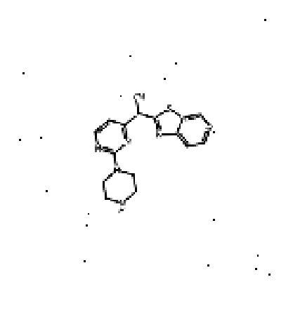 N#CC(c1ccnc(N2CCNCC2)n1)c1nc2ccccc2s1